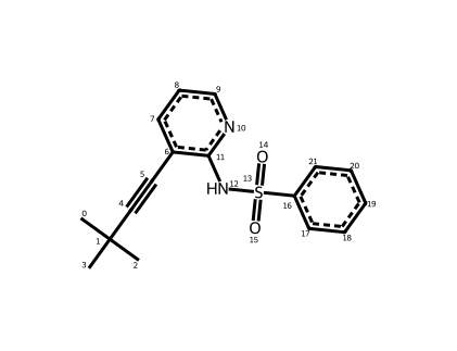 CC(C)(C)C#Cc1cccnc1NS(=O)(=O)c1ccccc1